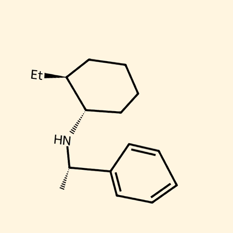 CC[C@H]1CCCC[C@@H]1N[C@@H](C)c1ccccc1